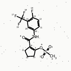 CS(=O)(=O)OC1=C(C(=O)Nc2ccc(F)c(C(F)(F)F)c2)CCC1